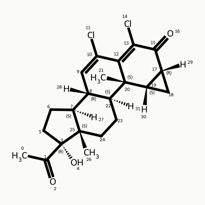 CC(=O)[C@@]1(O)CC[C@H]2[C@@H]3C=C(Cl)C4=C(Cl)C(=O)[C@@H]5C[C@@H]5[C@]4(C)[C@H]3CC[C@@]21C